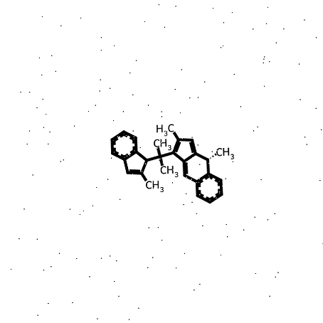 CC1=Cc2ccccc2C1C(C)(C)C1=C(C)C=C2C1=Cc1ccccc1[C@H]2C